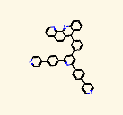 c1cc(-c2cc(-c3ccc(-c4ccncc4)cc3)nc(-c3ccc(-c4ccncc4)cc3)c2)cc(-c2c3ccccc3nc3c2ccc2cccnc23)c1